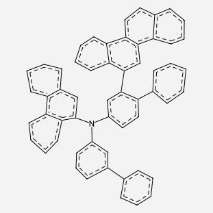 c1ccc(-c2cccc(N(c3ccc(-c4ccccc4)c(-c4cc5c6ccccc6ccc5c5ccccc45)c3)c3cc4ccccc4c4ccccc34)c2)cc1